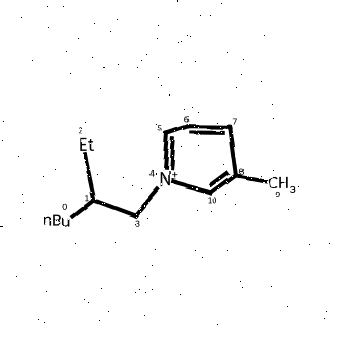 CCCCC(CC)C[n+]1cccc(C)c1